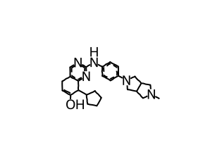 CN1CC2CN(c3ccc(Nc4ncc5c(n4)C(C4CCCC4)C(O)=CC5)cc3)CC2C1